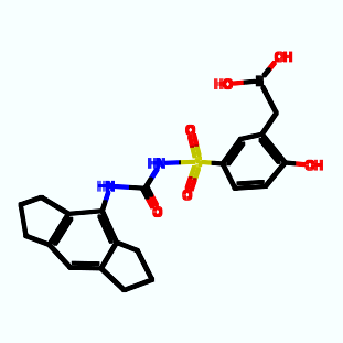 O=C(Nc1c2c(cc3c1CCC3)CCC2)NS(=O)(=O)c1ccc(O)c(CB(O)O)c1